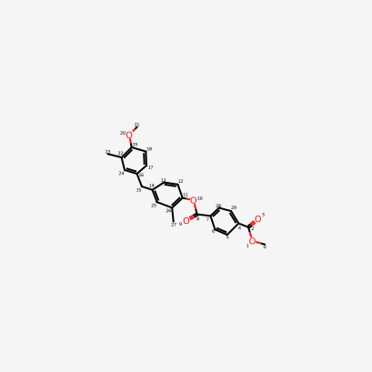 COC(=O)c1ccc(C(=O)Oc2ccc(Cc3ccc(OC)c(C)c3)cc2C)cc1